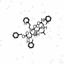 CC(C)C[C@H](NC(=O)N(CCc1ccccn1)C[C@@H](O)[C@H](Cc1ccccc1)NC(=O)OCc1ccccc1)C(=O)N[C@@H](Cc1ccccc1)C(N)=O